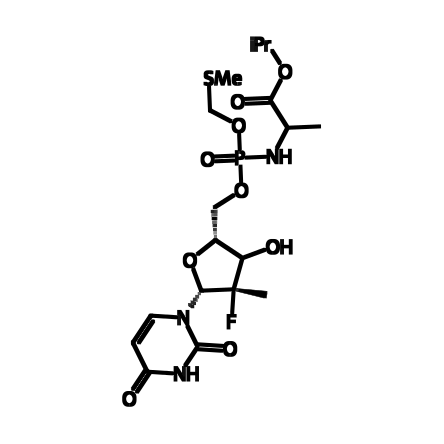 CSCOP(=O)(NC(C)C(=O)OC(C)C)OC[C@H]1O[C@@H](n2ccc(=O)[nH]c2=O)[C@@](C)(F)C1O